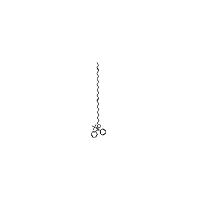 CCC=CCCCCCCCCCC=CCCCCCCCCO[Si](c1ccccc1)(c1ccccc1)C(C)(C)C